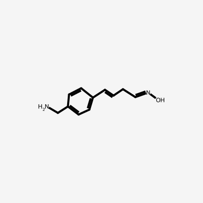 NCc1ccc(C=CCC=NO)cc1